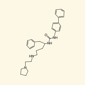 O=C(Nc1ccc(-c2ccccc2)cc1)NC(CCCNCCN1CCCC1)Cc1ccccc1